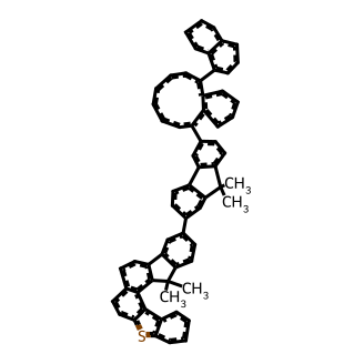 CC1(C)c2ccc(-c3ccccccc(-c4cccc5ccccc45)c4ccccc34)cc2-c2ccc(-c3ccc4c(c3)-c3ccc5ccc6sc7ccccc7c6c5c3C4(C)C)cc21